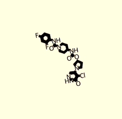 O=C(NC1CCN(C(=O)Nc2ccc(F)cc2F)CC1)O[C@@H]1CCN(c2cn[nH]c(=O)c2Cl)C1